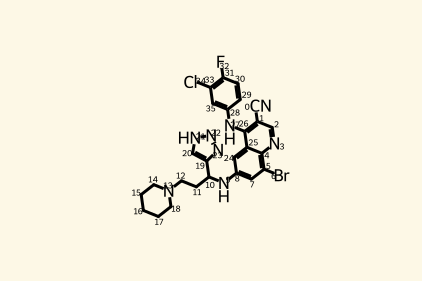 N#Cc1cnc2c(Br)cc(NC(CCN3CCCCC3)c3c[nH]nn3)cc2c1Nc1ccc(F)c(Cl)c1